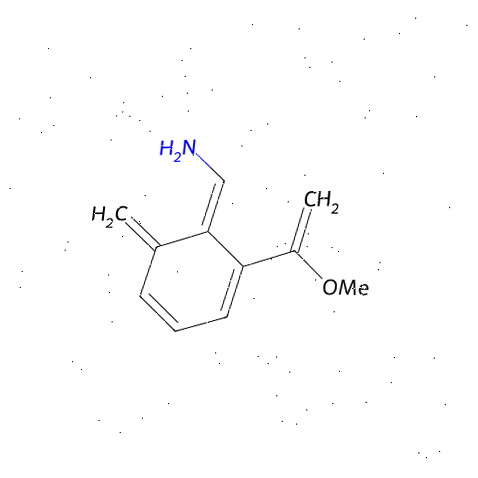 C=C(OC)c1cccc(=C)/c1=C\N